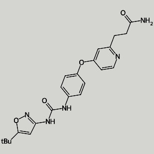 CC(C)(C)c1cc(NC(=O)Nc2ccc(Oc3ccnc(CCC(N)=O)c3)cc2)no1